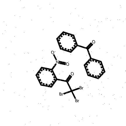 O=C(c1ccccc1)c1ccccc1.O=C(c1ccccc1[N+](=O)[O-])C(Br)(Br)Br